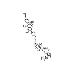 CCc1cc2c(cc1N1CCC(CCCCN3C[C@H](NC(=O)[C@@H](N)CCCn4ccnc4N)C(C)(C)C3)CC1)C(C)(C)c1[nH]c3cc(C#N)ccc3c1C2=O